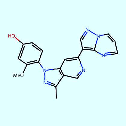 COc1cc(O)ccc1-n1nc(C)c2cnc(-c3cnn4cccnc34)cc21